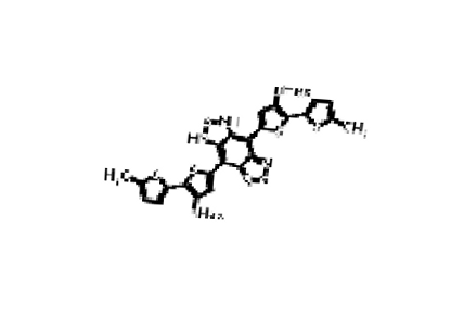 CCCCCCc1cc(-c2c3c(c(-c4cc(CCCCCC)c(-c5ccc(C)s5)s4)c4nsnc24)NSN3)sc1-c1ccc(C)s1